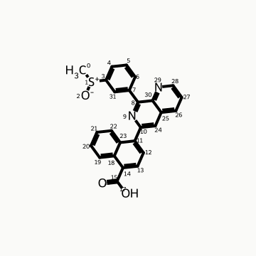 C[S+]([O-])c1cccc(-c2nc(-c3ccc(C(=O)O)c4ccccc34)cc3cccnc23)c1